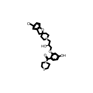 O=C(c1ccc(O)cc1OC[C@@H](O)CN1CCC2(CC1)Cc1cc(Cl)ccc1O2)N1CCSCC1